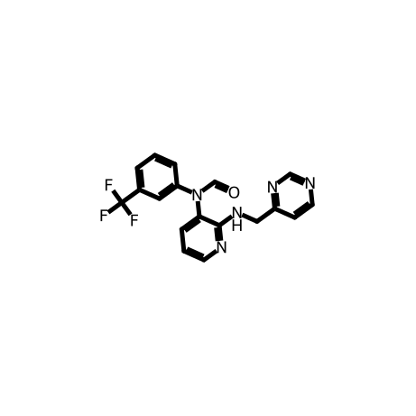 O=CN(c1cccc(C(F)(F)F)c1)c1cccnc1NCc1ccncn1